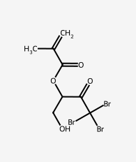 C=C(C)C(=O)OC(CO)C(=O)C(Br)(Br)Br